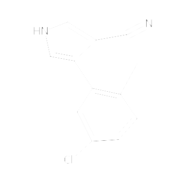 Cc1ccc(Cl)cc1-c1c[nH]cc1C#N